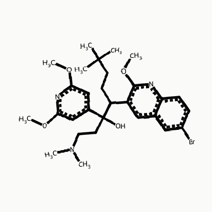 COc1cc(C(O)(CCN(C)C)C(CCC(C)(C)C)c2cc3cc(Br)ccc3nc2OC)cc(OC)n1